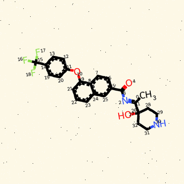 C/C(=N\C(=O)c1ccc2c(Oc3ccc(C(F)(F)F)cc3)cccc2c1)C1(O)CCNCC1